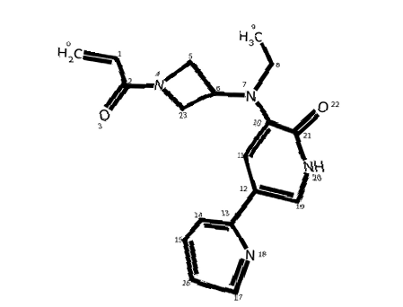 C=CC(=O)N1CC(N(CC)c2cc(-c3ccccn3)c[nH]c2=O)C1